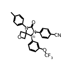 Cc1ccc(N2C(=O)N(c3ccc(C#N)cc3)[C@@H](c3cccc(OC(F)(F)F)c3)C23COC3)cc1